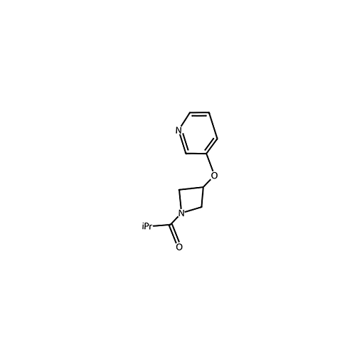 CC(C)C(=O)N1CC(Oc2cccnc2)C1